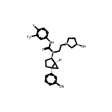 N#Cc1cccc([C@]23CC[C@@H](N(CCN4CC[C@@H](O)C4)C(=O)Nc4ccc(F)c(C(F)(F)F)c4)[C@H]2C3)c1